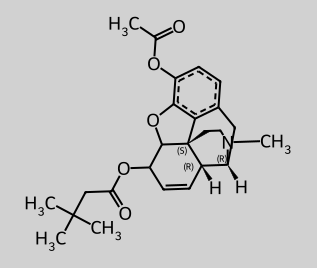 CC(=O)Oc1ccc2c3c1OC1C(OC(=O)CC(C)(C)C)C=C[C@H]4[C@@H](C2)N(C)CC[C@]314